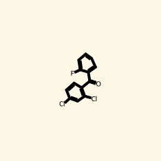 O=C(c1ccccc1F)c1ccc(Cl)cc1Cl